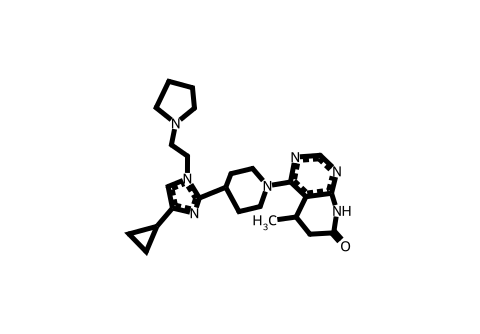 CC1CC(=O)Nc2ncnc(N3CCC(c4nc(C5CC5)cn4CCN4CCCC4)CC3)c21